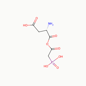 N[C@@H](CC(=O)O)C(=O)OC(=O)CP(=O)(O)O